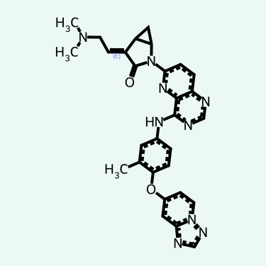 Cc1cc(Nc2ncnc3ccc(N4C(=O)/C(=C/CN(C)C)C5CC54)nc23)ccc1Oc1ccn2ncnc2c1